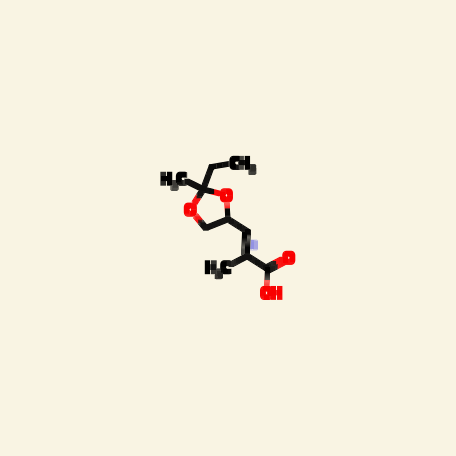 CCC1(C)OCC(/C=C(\C)C(=O)O)O1